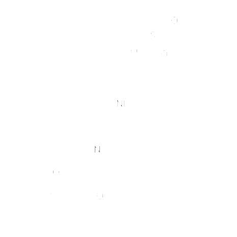 CC(C)(C)OC(=O)N1CCNC(c2ccccc2COS(C)(=O)=O)C1